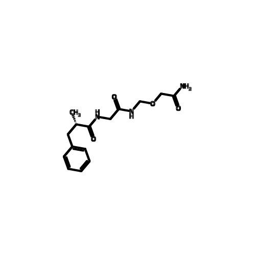 C[C@@H](Cc1ccccc1)C(=O)NCC(=O)NCOCC(N)=O